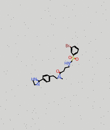 CN(CCc1ccc(C2=NCCN2)cc1)C(=O)CCCNCS(=O)(=O)c1cccc(Br)c1